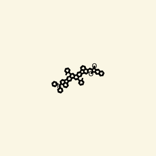 Cc1ccccc1-c1cc2c3cc4c(cc3c(-c3ccccc3C)cc2c2cc3c(cc12)-c1ccc(C=C2C(=O)c5cc6ccccc6cc5C2=O)c2cccc-3c12)-c1ccc(N(c2ccccc2)c2ccccc2)c2cccc-4c12